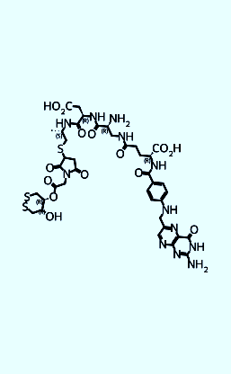 C[C@@H](CSC1CC(=O)N(CC(=O)O[C@H]2CSSC[C@@H]2O)C1=O)NC(=O)[C@@H](CC(=O)O)NC(=O)[C@H](N)CNC(=O)CC[C@@H](NC(=O)c1ccc(NCc2cnc3nc(N)[nH]c(=O)c3n2)cc1)C(=O)O